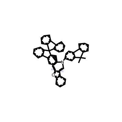 C=C/C=c1/oc2ccccc2/c1=C/N(c1ccc2c(c1)C(C)(C)c1ccccc1-2)c1ccc2c(c1)C1(c3ccccc3-c3ccccc31)c1ccccc1-2